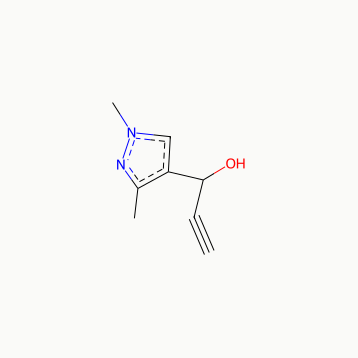 C#CC(O)c1cn(C)nc1C